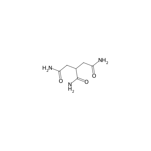 NC(=O)CC(CC(N)=O)C(N)=O